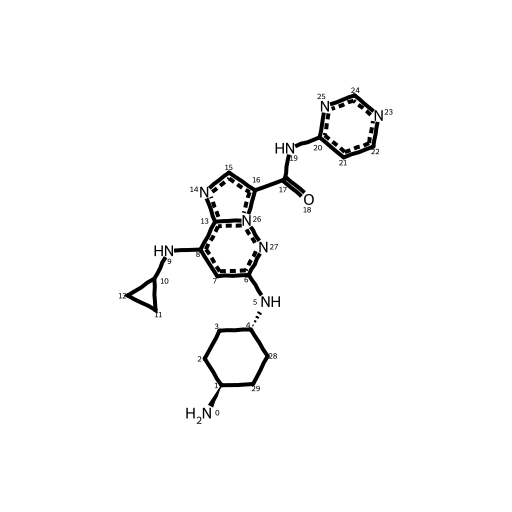 N[C@H]1CC[C@H](Nc2cc(NC3CC3)c3ncc(C(=O)Nc4ccncn4)n3n2)CC1